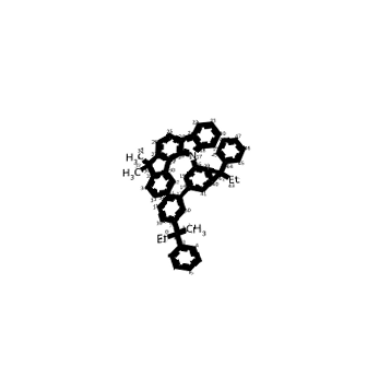 CCC(C)(c1ccccc1)c1cccc(-c2cc(-n3c4ccccc4c4ccc5c(c43)-c3ccccc3C5(C)C)c3c(c2)C3(CC)c2ccccc2)c1